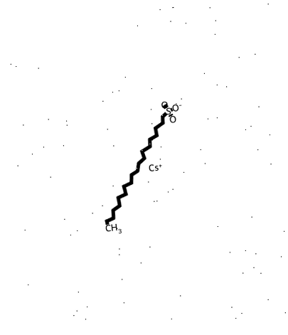 CCCCCCCCCCCCCCCCCCCCS(=O)(=O)[O-].[Cs+]